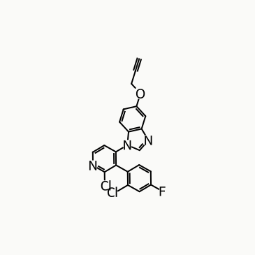 C#CCOc1ccc2c(c1)ncn2-c1ccnc(Cl)c1-c1ccc(F)cc1Cl